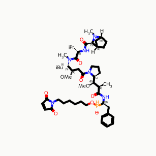 CC[C@H](C)[C@@H]([C@@H](CC(=O)N1CCC[C@H]1[C@H](OC)[C@@H](C)C(=O)N[C@@H](Cc1ccccc1)[PH](=O)OCCCCCCN1C(=O)C=CC1=O)OC)N(C)C(=O)[C@@H](NC(=O)[C@@H]1[C@H]2CC[C@H](C2)N1C)C(C)C